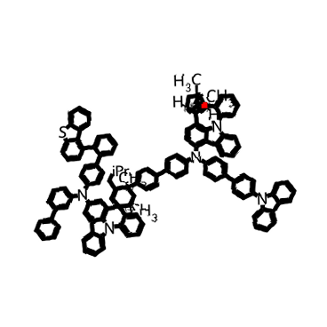 CC(C)CC1CC2(c3ccccc3-n3c4ccccc4c4cc(N(c5ccc(-c6ccccc6-c6cccc7sc8ccccc8c67)cc5)c5cccc(-c6ccccc6)c5)cc2c43)[C@@H](C)C[C@]1(C)c1ccc(-c2ccc(N(c3ccc(-c4ccc(-n5c6ccccc6c6ccccc65)cc4)cc3)c3ccc4c5c3c3ccccc3n5-c3ccccc3[C@]3(C)C5C[C@@H]6C[C@@H](C)C[C@H](C5)C463)cc2)cc1